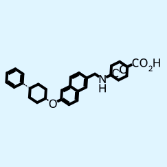 O=C(O)C12CCC(NCc3ccc4cc(O[C@H]5CC[C@@H](c6ccccc6)CC5)ccc4c3)(CC1)CC2